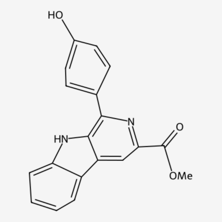 COC(=O)c1cc2c([nH]c3ccccc32)c(-c2ccc(O)cc2)n1